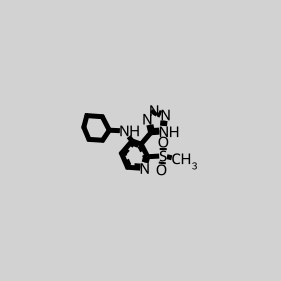 CS(=O)(=O)c1nccc(NC2CCCCC2)c1-c1nnn[nH]1